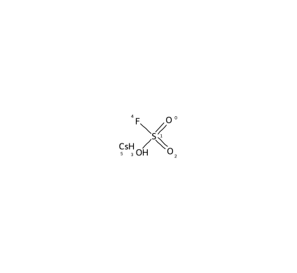 O=S(=O)(O)F.[CsH]